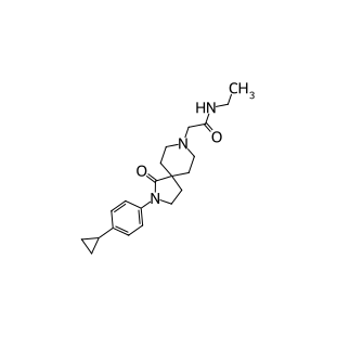 CCNC(=O)CN1CCC2(CC1)CCN(c1ccc(C3CC3)cc1)C2=O